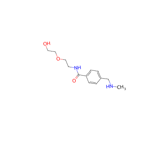 CNCc1ccc(C(=O)NCCOCCO)cc1